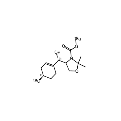 CC(C)(C)OC(=O)N1C([C@@H](O)C2=CC[C@H](C(C)(C)C)CC2)COC1(C)C